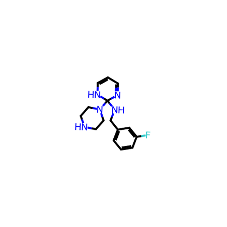 Fc1cccc(CNC2(N3CCNCC3)N=CC=CN2)c1